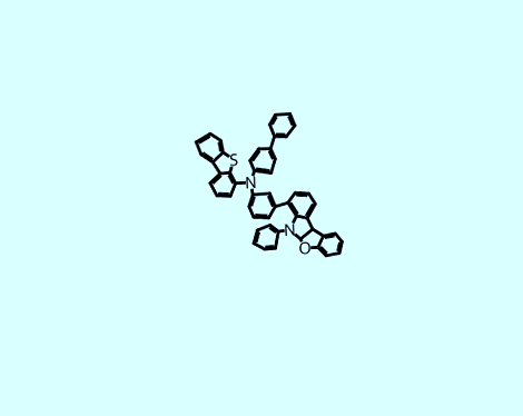 c1ccc(-c2ccc(N(c3cccc(-c4cccc5c4N(c4ccccc4)C4Oc6ccccc6C54)c3)c3cccc4c3sc3ccccc34)cc2)cc1